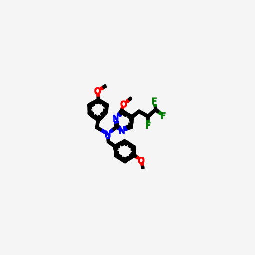 COc1ccc(CN(Cc2ccc(OC)cc2)c2ncc(CC(F)C(F)F)c(OC)n2)cc1